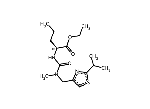 CCC[C@H](NC(=O)N(C)Cc1csc(C(C)C)n1)C(=O)OCC